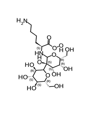 NCCCC[C@H](NC1O[C@H](CO)[C@H](O)[C@H](O)[C@]1(O)C1O[C@H](CO)[C@@H](O)[C@H](O)[C@H]1O)C(=O)OO